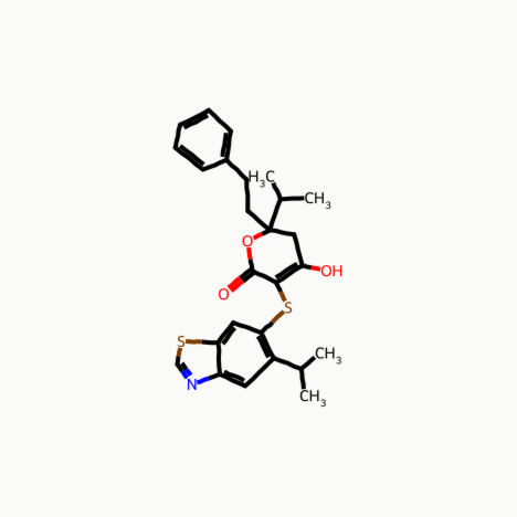 CC(C)c1cc2ncsc2cc1SC1=C(O)CC(CCc2ccccc2)(C(C)C)OC1=O